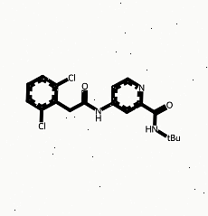 CC(C)(C)NC(=O)c1cc(NC(=O)Cc2c(Cl)cccc2Cl)ccn1